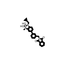 CN1c2cc(-c3cccc(CN4C(=O)c5ccccc5C4=O)c3)ccc2N(CC2CC2)S1(O)O